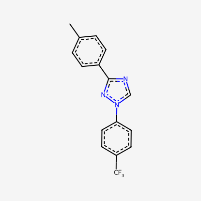 Cc1ccc(-c2ncn(-c3ccc(C(F)(F)F)cc3)n2)cc1